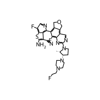 C[C@H]1[C@@H](N2CCN(CCF)CC2)CCN1c1ncc2c3c(c(-c4ncc(F)c5sc(N)c(C#N)c45)c(F)c2n1)COC3